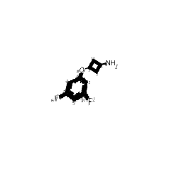 N[C@H]1C[C@H](Oc2cc(F)cc(F)c2)C1